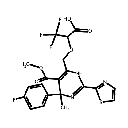 COC(=O)C1=C(COC(C(=O)O)C(F)(F)F)NC(c2nccs2)=NC1(C)c1ccc(F)cc1